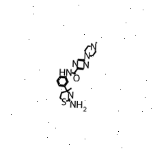 CN1CCN(c2cnc(C(=O)Nc3cccc(C4(C)CCSC(N)=N4)c3)cn2)CC1